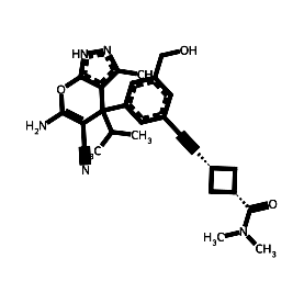 Cc1n[nH]c2c1C(c1cc(C#C[C@H]3C[C@@H](C(=O)N(C)C)C3)cc(CO)c1)(C(C)C)C(C#N)=C(N)O2